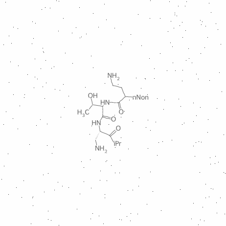 CCCCCCCCCC(CCN)C(=O)N[C@H](C(=O)N[C@@H](CN)C(=O)C(C)C)C(C)O